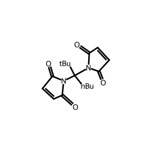 CCCCC(N1C(=O)C=CC1=O)(N1C(=O)C=CC1=O)C(C)(C)C